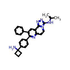 C=C(C)Nc1nnc2c3cc(-c4ccccc4)c(-c4ccc(C5(N)CCC5)cc4)nc3ccn12